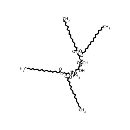 CCCCCCCCCCCCCCCC(=O)OCC(COP(C)(=O)OCC(O)COP(=O)(O)OCC(COC(=O)CCCCCCCCCCCCCCC)OC(=O)CCCCCCCCCCCCCCC)OC(=O)CCCCCCCCCCCCCCC